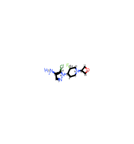 Nc1cnn([C@@H]2CCN(C3COC3)C[C@@H]2F)c1Cl